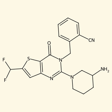 N#Cc1ccccc1Cn1c(N2CCCC(N)C2)nc2cc(C(F)F)sc2c1=O